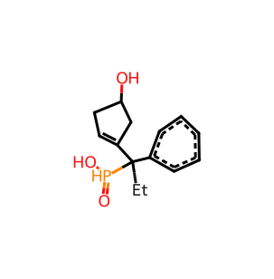 CCC(C1=CCC(O)C1)(c1ccccc1)[PH](=O)O